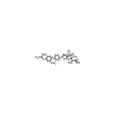 Cc1cc(C[C@@H](C)O)ccc1-c1ccc(C2=NO[C@@H](C[C@](C)(C(O)NO)S(C)(=O)=O)C2)cc1